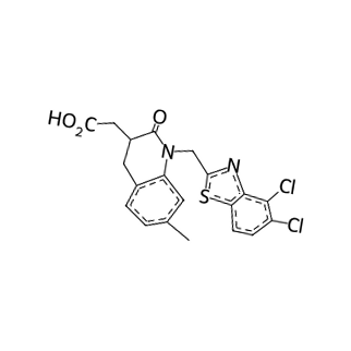 Cc1ccc2c(c1)N(Cc1nc3c(Cl)c(Cl)ccc3s1)C(=O)C(CC(=O)O)C2